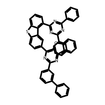 c1ccc(-c2cccc(-c3nc(-c4ccc5sc6cccc(-c7nc(-c8ccccc8)nc(-c8ccccc8)n7)c6c5c4)c4oc5ccccc5c4n3)c2)cc1